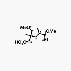 CCC(OC)C(C)CC(C)(COC)CC(=O)O